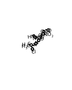 CC1(C)CCC(CN2CCN(c3ccc(C(=O)NS(=O)(=O)c4cc5c(c([N+](=O)[O-])c4)N[C@H](CC4CCOCC4)CO5)c(Oc4cnc5[nH]ccc5c4)c3)CC2)=C(c2ccc(Cl)cc2)C1